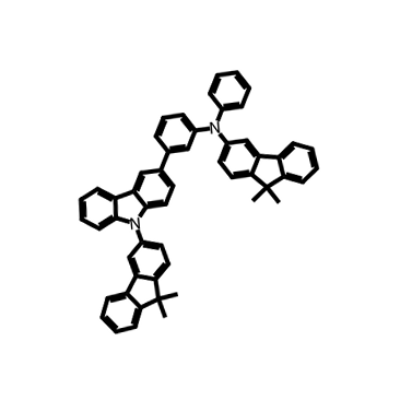 CC1(C)c2ccccc2-c2cc(N(c3ccccc3)c3cccc(-c4ccc5c(c4)c4ccccc4n5-c4ccc5c(c4)-c4ccccc4C5(C)C)c3)ccc21